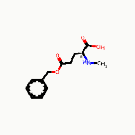 CN[C@@H](CCC(=O)OCc1ccccc1)C(=O)O